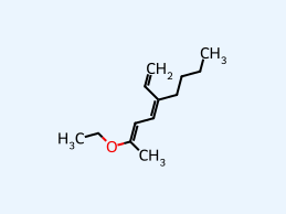 C=C/C(=C\C=C(/C)OCC)CCCC